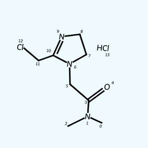 CN(C)C(=O)CN1CCN=C1CCl.Cl